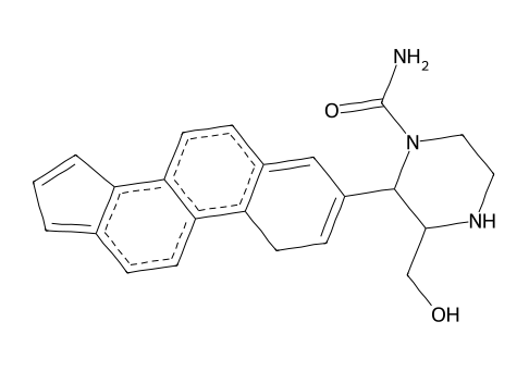 NC(=O)N1CCNC(CO)C1C1=CCc2c(ccc3c4c(ccc23)=CC=C4)=C1